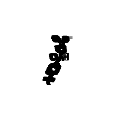 CC(C)(C)c1ccc(C(=O)Nc2ccc([N+](=O)[O-])cc2)cc1